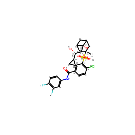 O=C(Nc1ccc(F)c(F)c1)c1ccc(Cl)c(S(=O)(=O)[C@H]2CC3CC(C2)[C@]3(O)[C@H](O)[C@@H](O)C2CC2)c1